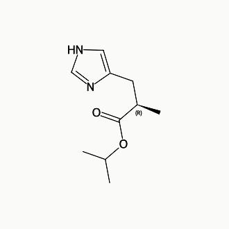 CC(C)OC(=O)[C@H](C)Cc1c[nH]cn1